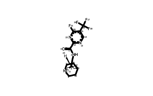 O=C(N[C@@H]1CC2CCN(CC2)C1)c1ncc(C(F)(F)F)c(F)n1